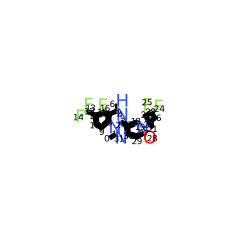 Cc1nc(N[C@H](C)c2cccc(C(F)F)c2F)c2cn(C3(C)CC(F)(F)C3)c(=O)cc2n1